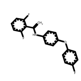 C=C(Nc1ccc(Oc2ccc(F)cc2)cc1)c1c(F)cccc1F